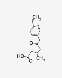 C=Cc1ccc(CC(=O)CC(C)CC(=O)O)cc1